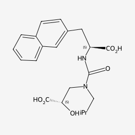 CC(C)CN(C[C@H](O)C(=O)O)C(=O)N[C@@H](Cc1ccc2ccccc2c1)C(=O)O